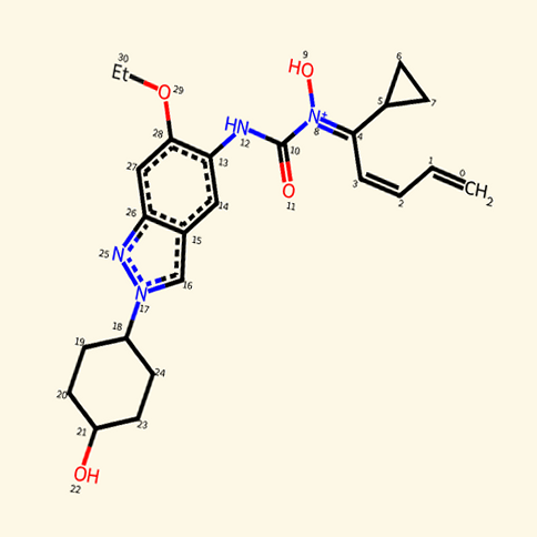 C=C/C=C\C(C1CC1)=[N+](\O)C(=O)Nc1cc2cn(C3CCC(O)CC3)nc2cc1OCC